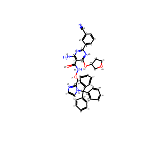 N#Cc1cccc(-c2nc(N)c(C(=O)NOCc3nccn3C(c3ccccc3)(c3ccccc3)c3ccccc3)c(OC3CCOC3)n2)c1